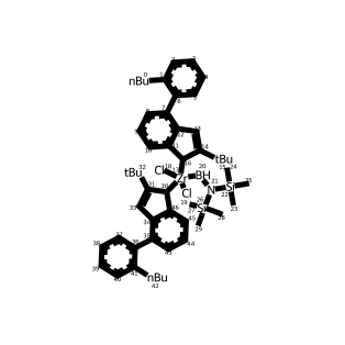 CCCCc1ccccc1-c1cccc2c1C=C(C(C)(C)C)[CH]2[Zr]([Cl])([Cl])([BH]N([Si](C)(C)C)[Si](C)(C)C)[CH]1C(C(C)(C)C)=Cc2c(-c3ccccc3CCCC)cccc21